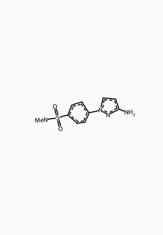 CNS(=O)(=O)c1ccc(-n2ccc(N)n2)cc1